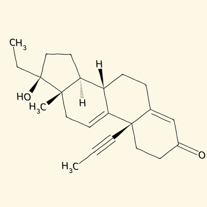 CC#C[C@]12CCC(=O)C=C1CC[C@@H]1C2=CC[C@@]2(C)[C@H]1CC[C@@]2(O)CC